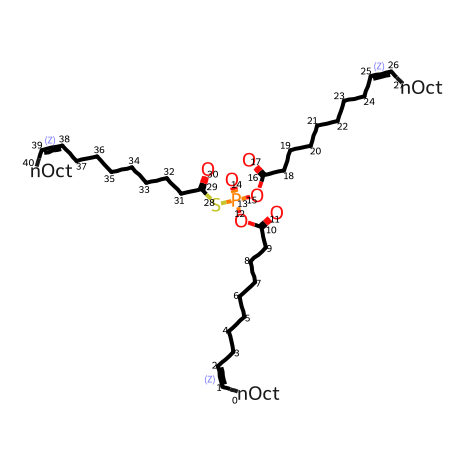 CCCCCCCC/C=C\CCCCCCCC(=O)OP(=O)(OC(=O)CCCCCCC/C=C\CCCCCCCC)SC(=O)CCCCCCC/C=C\CCCCCCCC